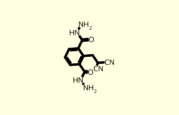 N#CC(C#N)Cc1c(C(=O)NN)cccc1C(=O)NN